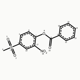 CS(=O)(=O)c1ccc(OC(=O)c2ccccc2)c([N+](=O)[O-])c1